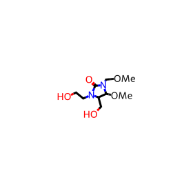 COCN1C(=O)N(CCO)C(CO)C1OC